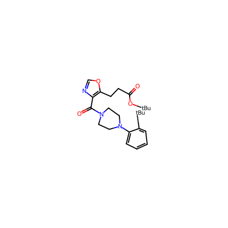 CC(C)(C)OC(=O)CCc1ocnc1C(=O)N1CCN(c2ccccc2C(C)(C)C)CC1